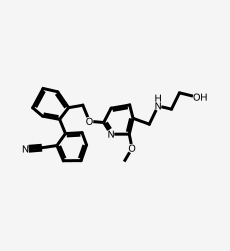 COc1nc(OCc2ccccc2-c2ccccc2C#N)ccc1CNCCO